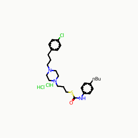 CCCCc1ccc(NC(=O)SCCCN2CCN(CCCc3ccc(Cl)cc3)CC2)cc1.Cl.Cl